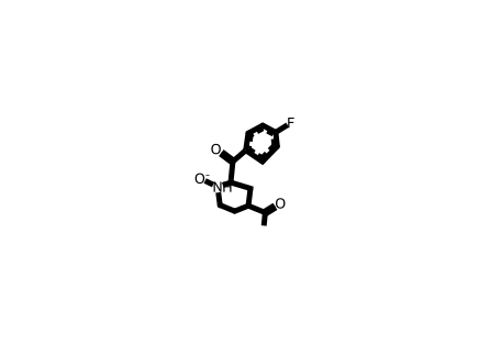 CC(=O)C1CC[NH+]([O-])C(C(=O)c2ccc(F)cc2)C1